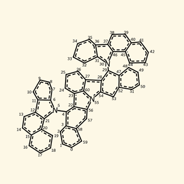 c1ccc2c(-n3c4ccccc4c4ccc5ccccc5c43)c3c4cccc5c6c(-n7c8ccccc8c8ccc9ccccc9c87)c7ccccc7cc6n(c3cc2c1)c45